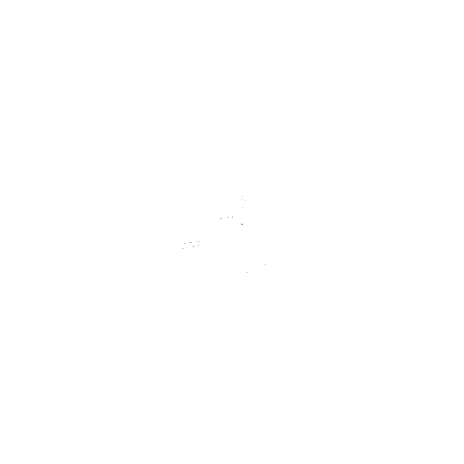 CO.O=[PH]([O-])O[PH](=O)[O-].[Cd+2]